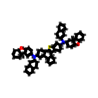 C1=CC2Oc3ccc(N(c4ccc5ccccc5c4)c4ccc5c(c4)c4ccccc4c4c6ccc(N(C7=CC=C8Oc9ccccc9[C@H]8C7)c7ccc8ccccc8c7)cc6sc54)cc3[C@@H]2C=C1